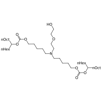 CCCCCCCCC(CCCCCC)OC(=O)OCCCCCN(CCCCCOC(=O)OC(CCCCCC)CCCCCCCC)CCOCCO